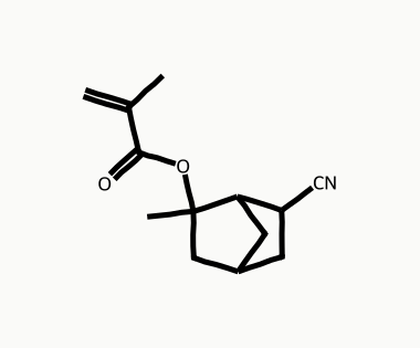 C=C(C)C(=O)OC1(C)CC2CC(C#N)C1C2